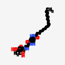 CCCCCCCC/C=C\CCCCCCCC(=O)Nc1ccc(NC(=O)CCNC(=O)C(O)C(C)(C)CO)cc1